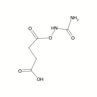 NC(=O)NOC(=O)CCC(=O)O